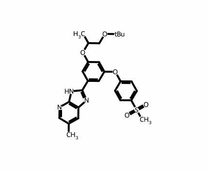 Cc1cnc2[nH]c(-c3cc(Oc4ccc(S(C)(=O)=O)cc4)cc(OC(C)COC(C)(C)C)c3)nc2c1